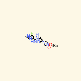 Cc1cn2cc(C(=N)Nc3ncc(N4CCN(C(=O)OC(C)(C)C)CC4)cc3C)cc(F)c2n1